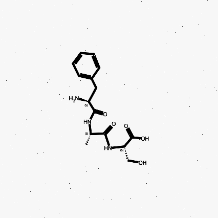 C[C@H](NC(=O)[C@@H](N)Cc1ccccc1)C(=O)N[C@@H](CO)C(=O)O